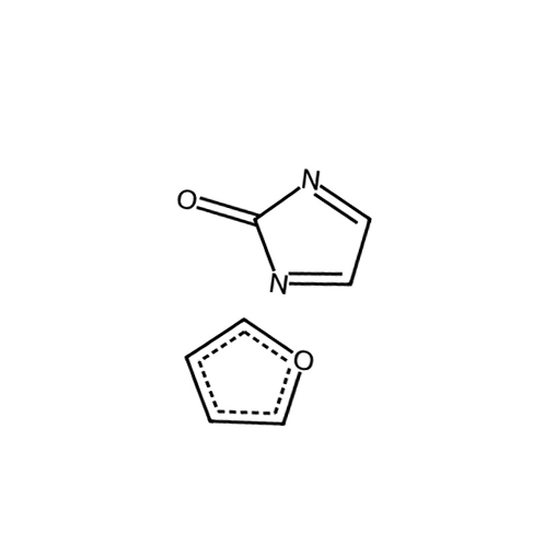 O=C1N=CC=N1.c1ccoc1